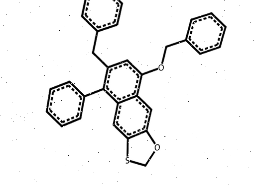 c1ccc(COc2cc(Cc3ccccc3)c(-c3ccccc3)c3cc4c(cc23)OCS4)cc1